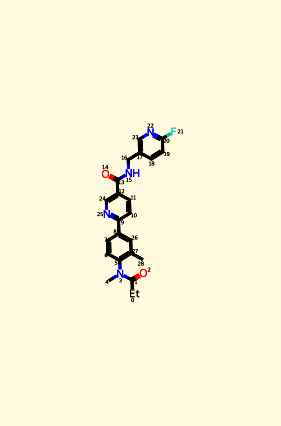 CCC(=O)N(C)c1ccc(-c2ccc(C(=O)NCc3ccc(F)nc3)cn2)cc1C